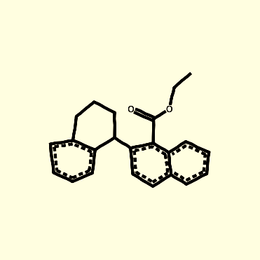 CCOC(=O)c1c(C2CCCc3ccccc32)ccc2ccccc12